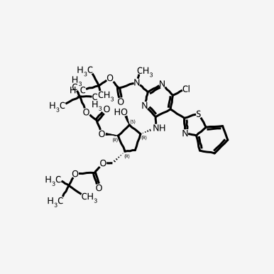 CN(C(=O)OC(C)(C)C)c1nc(Cl)c(-c2nc3ccccc3s2)c(N[C@@H]2C[C@H](COC(=O)OC(C)(C)C)[C@@H](OC(=O)OC(C)(C)C)[C@H]2O)n1